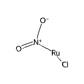 O=[N+]([O-])[Ru][Cl]